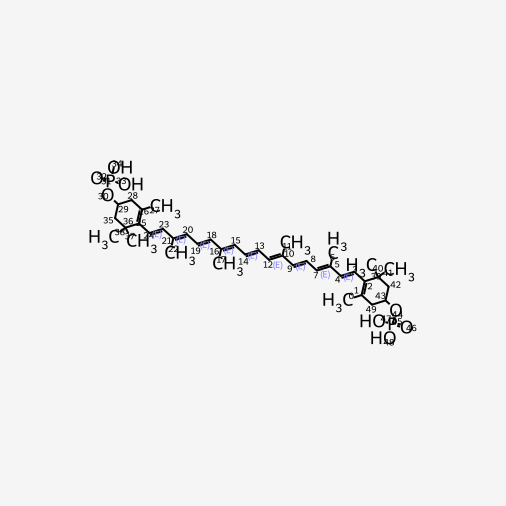 CC1=C(/C=C/C(C)=C/C=C/C(C)=C/C=C/C=C(C)/C=C/C=C(C)/C=C/C2=C(C)CC(OP(=O)(O)O)CC2(C)C)C(C)(C)CC(OP(=O)(O)O)C1